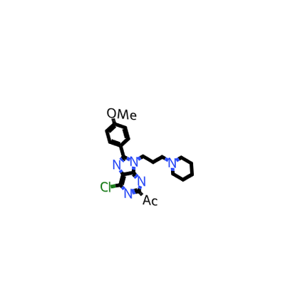 COc1ccc(-c2nc3c(Cl)nc(C(C)=O)nc3n2CCCN2CCCCC2)cc1